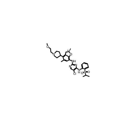 COCCN1CCC(c2c(C)cc(Nc3ncc(Cl)c(Nc4ccccc4S(=O)(=O)C(C)C)n3)c3c2C[C@@H](C)O3)CC1